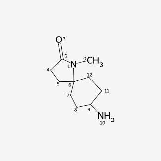 CN1C(=O)CCC12CCC(N)CC2